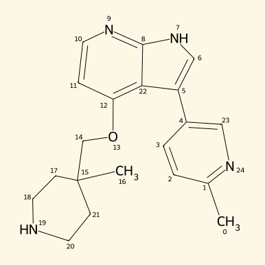 Cc1ccc(-c2c[nH]c3nccc(OCC4(C)CCNCC4)c23)cn1